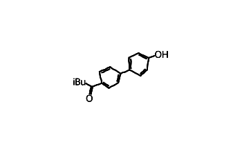 CCC(C)C(=O)c1ccc(-c2ccc(O)cc2)cc1